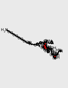 CCc1cc(OCCCCn2cc(COCCOCCOCCOCCOCCOCCOCCOCCN)nn2)ccc1-c1ccc(C[C@H](NC(=O)[C@H](CC(=O)O)NC(=O)[C@H](CO)NC(=O)[C@@H](NC(=O)C(C)(Cc2ccccc2F)NC(=O)[C@@H](NC(=O)CNC(=O)[C@H](Cc2nn[nH]n2)NC(=O)C(C)(C)C(=O)NCCc2cnc[nH]2)[C@@H](C)O)[C@@H](C)O)C(=O)N[C@@H](CCCc2cc(C)cc(C)c2)C(N)=O)cc1